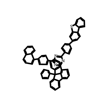 c1ccc(C2(c3ccccc3)c3ccccc3-c3cccc(-c4nc(-c5ccc(-c6ccc7c(c6)sc6ccccc67)cc5)nc(-c5ccc(-c6cccc7ccccc67)cc5)n4)c32)cc1